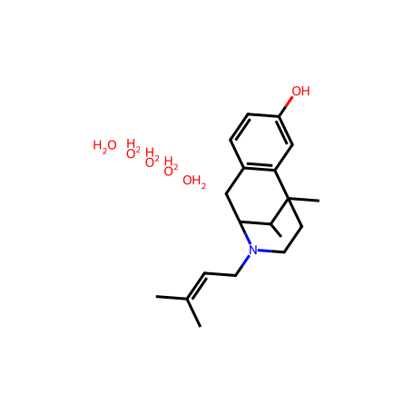 CC(C)=CCN1CCC2(C)c3cc(O)ccc3CC1C2C.O.O.O.O.O